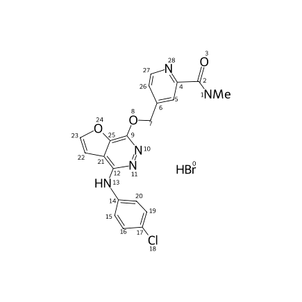 Br.CNC(=O)c1cc(COc2nnc(Nc3ccc(Cl)cc3)c3ccoc23)ccn1